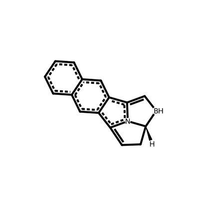 B1C=c2c3cc4ccccc4cc3c3n2[C@H]1CC=3